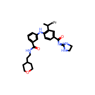 CC(C)C(C)c1cc(C(=O)N=C2NCCN2)ccc1Nc1cccc(C(=O)NCCC2CCOCC2)c1